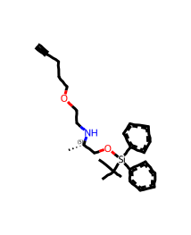 C#CCCCOCCN[C@@H](C)CO[Si](c1ccccc1)(c1ccccc1)C(C)(C)C